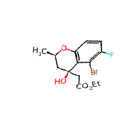 CCOC(=O)C[C@]1(O)C[C@@H](C)Oc2ccc(F)c(Br)c21